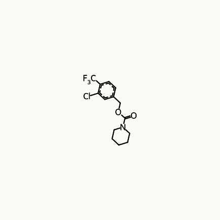 O=C(OCc1ccc(C(F)(F)F)c(Cl)c1)N1CCCCC1